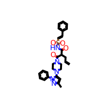 C=CCC(C(=O)NS(=O)(=O)/C=C/c1ccccc1)C(=O)N1CCN(c2cc(C)nn2-c2ccccc2)CC1